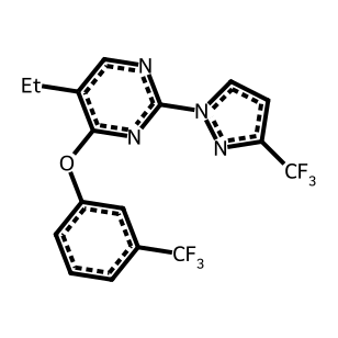 CCc1cnc(-n2ccc(C(F)(F)F)n2)nc1Oc1cccc(C(F)(F)F)c1